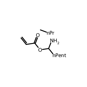 C=CC(=O)OC(N)CCCCC.CCCC